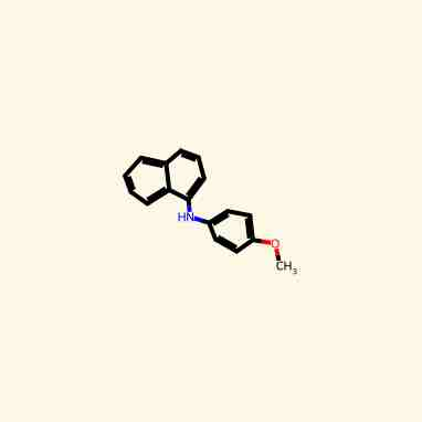 COc1ccc(Nc2cc[c]c3ccccc23)cc1